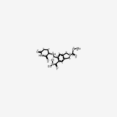 CCN(CC)C(=O)c1cc2c(cc1CNC1CCC(=O)NC1=O)CN(C(=O)OC(C)(C)C)C2